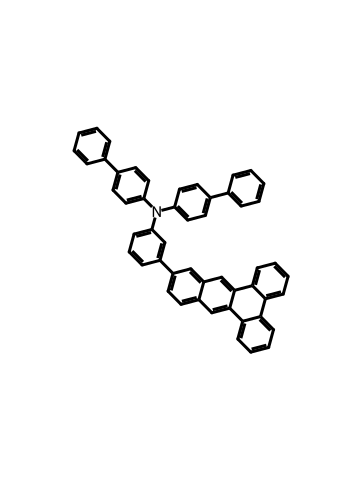 c1ccc(-c2ccc(N(c3ccc(-c4ccccc4)cc3)c3cccc(-c4ccc5cc6c7ccccc7c7ccccc7c6cc5c4)c3)cc2)cc1